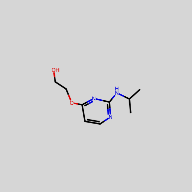 CC(C)Nc1nccc(OCCO)n1